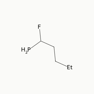 CCCCC(F)P